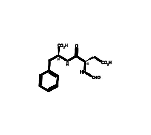 O=CN[C@@H](CC(=O)O)C(=O)N[C@@H](Cc1ccccc1)C(=O)O